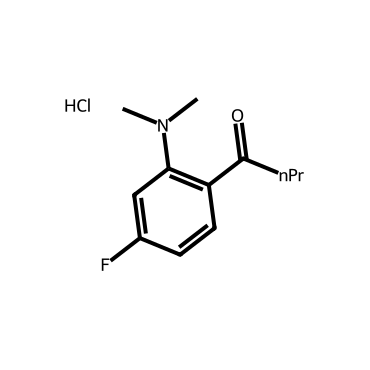 CCCC(=O)c1ccc(F)cc1N(C)C.Cl